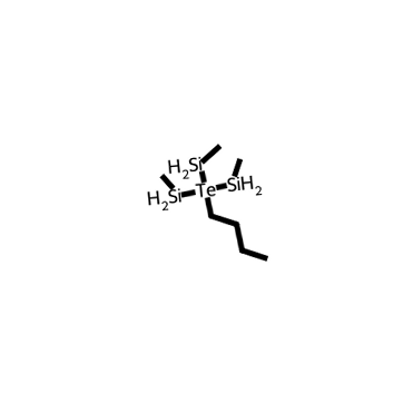 CCCC[Te]([SiH2]C)([SiH2]C)[SiH2]C